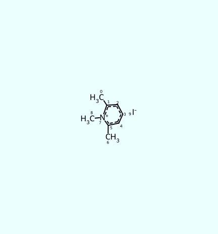 Cc1cccc(C)[n+]1C.[I-]